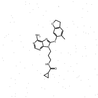 Cc1cc2c(cc1Sc1nc3c(N)ncnc3n1CCCNC(=O)C1CC1)OCC2